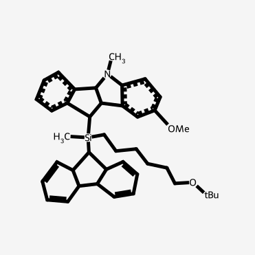 COc1ccc2c(c1)C1C(c3ccccc3C1[Si](C)(CCCCCCOC(C)(C)C)C1C3C=CC=CC3C3C=CC=CC31)N2C